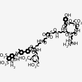 Cc1cc(-c2ccc(NC(=O)[C@@H](CCCCNC(=O)CCN3C(=O)CC(SCC(=O)NCCCC[C@H]4NC(=O)C(Cc5ccc(O)cc5)NC(=O)[C@H](CC(=O)O)NC(=O)C(C)NC(=O)[C@H](CCCNC(=N)N)NC4=O)C3=O)NC(=O)CN3CCN(CC(=O)O)CCN(CC(=O)O)CC3)c(C)c2)ccc1/N=N/c1ccc2c(S(=O)(=O)O)cc(S(=O)(=O)O)c(N)c2c1O